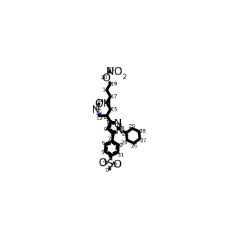 CS(=O)(=O)c1ccc(-c2cc(C(/C=N\O)CCCCCO[N+](=O)[O-])nn2C2CCCCC2)cc1